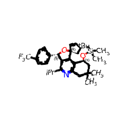 CC(C)c1nc2c(c3c1[C@H](c1ccc(C(F)(F)F)cc1)O[C@]31C=CCC1)[C@@H](O[Si](C)(C)C(C)(C)C)CC(C)(C)C2